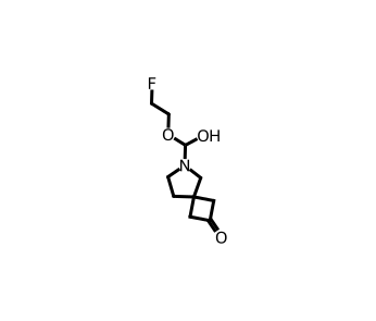 O=C1CC2(CCN(C(O)OCCF)C2)C1